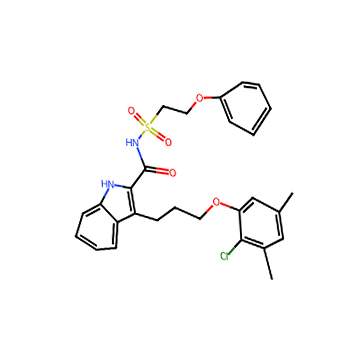 Cc1cc(C)c(Cl)c(OCCCc2c(C(=O)NS(=O)(=O)CCOc3ccccc3)[nH]c3ccccc23)c1